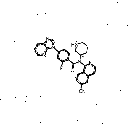 N#Cc1ccc2c(N(C(=O)c3ccc(-n4nnc5cccnc54)cc3F)[C@@H]3CCCNC3)nccc2c1